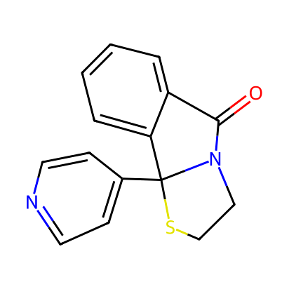 O=C1c2ccccc2C2(c3ccncc3)SCCN12